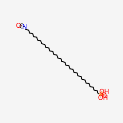 O=C=NCCCCCCCCCCCCCCCCCCCCCCCCCCCCCCCCCCCCCP(=O)(O)O